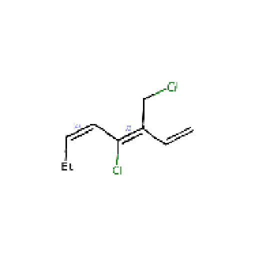 C=C/C(CCl)=C(Cl)/C=C\CC